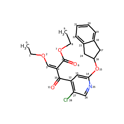 CCO/C=C(\C(=O)OCC)C(=O)c1cc(OC2Cc3ccccc3C2)ncc1Cl